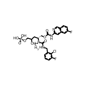 CN(C(=O)NCc1cccc(F)c1Cl)[C@@H](COC(=O)Nc1cc2cc(F)ccc2cn1)CC(O)COP(=O)(O)O